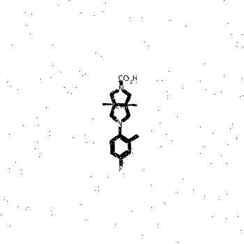 Cc1cc(F)ccc1N1C[C@]2(C)CN(C(=O)O)C[C@]2(C)C1